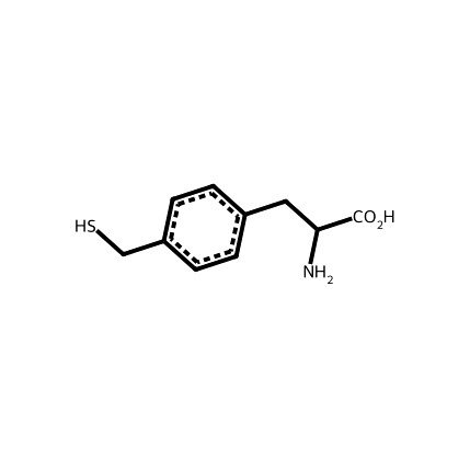 NC(Cc1ccc(CS)cc1)C(=O)O